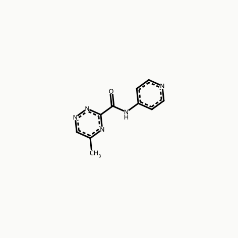 Cc1cnnc(C(=O)Nc2ccncc2)n1